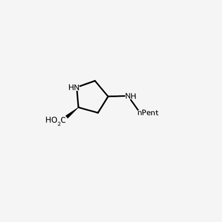 CCCCCNC1CN[C@H](C(=O)O)C1